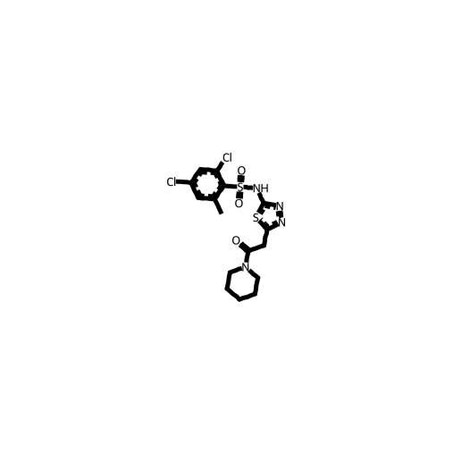 Cc1cc(Cl)cc(Cl)c1S(=O)(=O)Nc1nnc(CC(=O)N2CCCCC2)s1